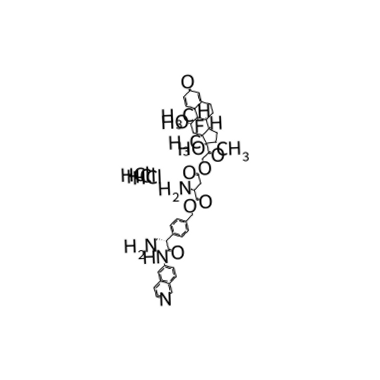 C[C@@H]1C[C@H]2[C@@H]3CCC4=CC(=O)C=C[C@]4(C)[C@@]3(F)[C@@H](O)C[C@]2(C)[C@@]1(O)C(=O)COC(=O)C[C@H](N)C(=O)OCc1ccc([C@@H](CN)C(=O)Nc2ccc3cnccc3c2)cc1.Cl.Cl.Cl